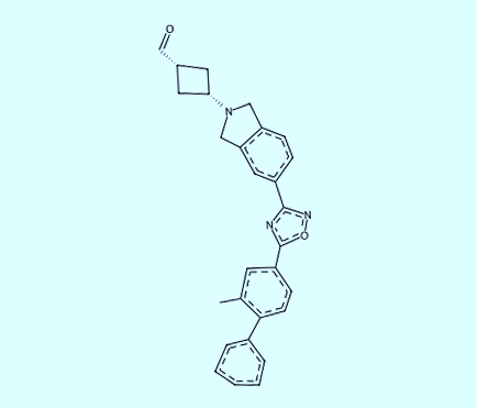 Cc1cc(-c2nc(-c3ccc4c(c3)CN([C@H]3C[C@@H](C=O)C3)C4)no2)ccc1-c1ccccc1